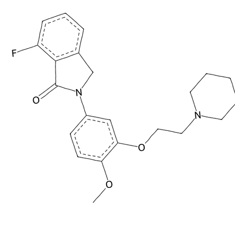 COc1ccc(N2Cc3cccc(F)c3C2=O)cc1OCCN1CCCCC1